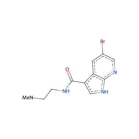 CNCCNC(=O)c1c[nH]c2ncc(Br)cc12